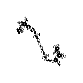 CCCOc1cc(OCCCCN(C)CC(=O)NCCOCCOCCOCCOCCC(=O)NCCN2CCN(c3ccc(-c4cc(NC(C)C)c(C=N)c(C(=O)NCc5c(C)cc(C)[nH]c5=O)c4)cn3)CC2)cc(Oc2cc3c(cc2NS(=O)(=O)c2ccc(OC)c(OC)c2)n(C)c(=O)n3C)c1